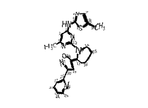 Cc1cc(Nc2ncc(C)s2)nc(N2CCCC2c2cc(-c3ccccn3)no2)n1